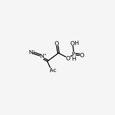 CC(=O)C(=[N+]=[N-])C(=O)O[PH](=O)O